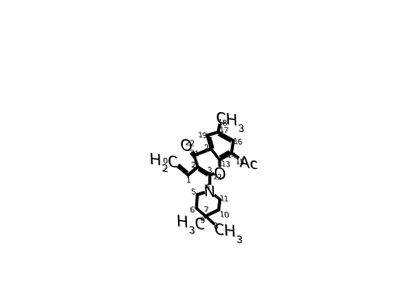 C=Cc1c(N2CCC(C)(C)CC2)oc2c(C(C)=O)cc(C)cc2c1=O